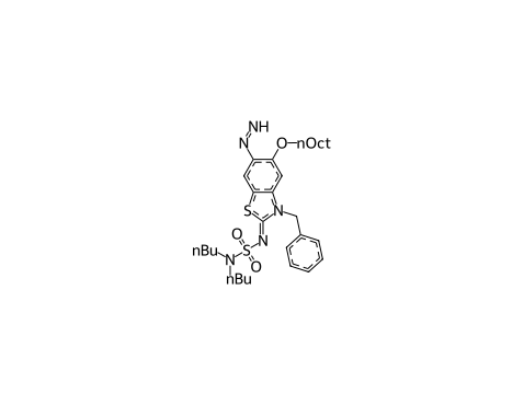 CCCCCCCCOc1cc2c(cc1N=N)s/c(=N\S(=O)(=O)N(CCCC)CCCC)n2Cc1ccccc1